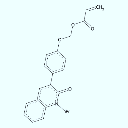 C=CC(=O)OCOc1ccc(-c2cc3ccccc3n(C(C)C)c2=O)cc1